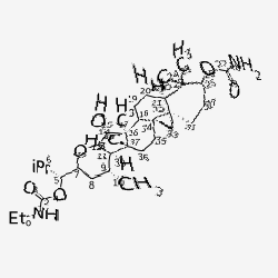 CCNC(=O)O[C@H](C(C)C)C1C[C@@H](C)[C@H]2C(O1)[C@H](O)[C@@]1(C)C3CC[C@H]4C(C)(C)C(OC(N)=O)CC[C@@]45C[C@@]35CC[C@]21C